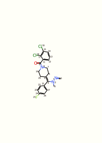 C=NN(C)C(=C1CCN(C(=O)c2cccc(Cl)c2Cl)CC1)c1ccc(F)cc1